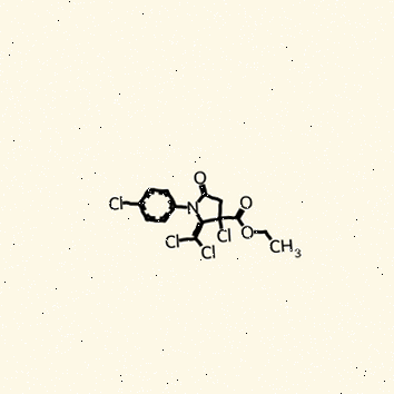 CCOC(=O)C1(Cl)CC(=O)N(c2ccc(Cl)cc2)C1=C(Cl)Cl